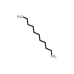 CCC[CH]CCCCCCC